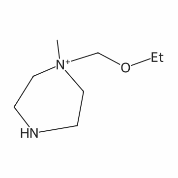 CCOC[N+]1(C)CCNCC1